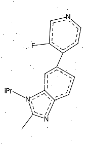 Cc1nc2ccc(-c3ccncc3F)cc2n1C(C)C